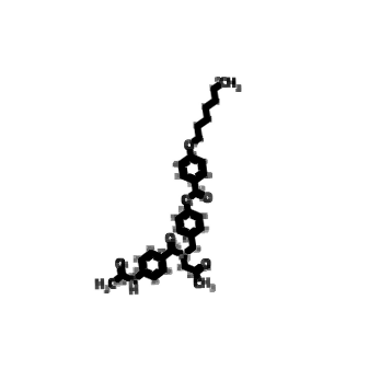 CCCCCCCOc1ccc(C(=O)Oc2ccc(CN(CC(C)=O)C(=O)c3ccc(NC(C)=O)cc3)cc2)cc1